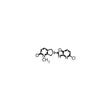 Cn1c2c(ccc1=O)CN(c1nc3nc(Cl)ccc3o1)C2